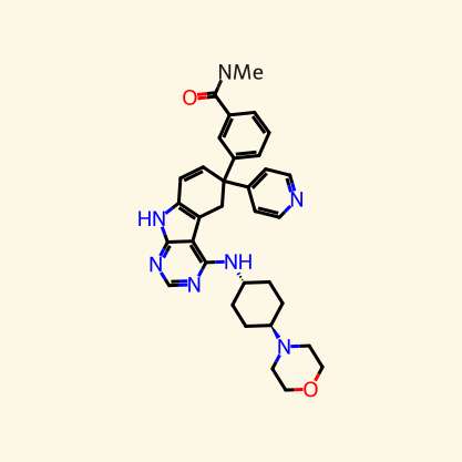 CNC(=O)c1cccc(C2(c3ccncc3)C=Cc3[nH]c4ncnc(N[C@H]5CC[C@H](N6CCOCC6)CC5)c4c3C2)c1